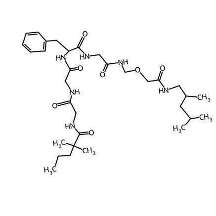 CCCC(C)(C)C(=O)NCC(=O)NCC(=O)NC(Cc1ccccc1)C(=O)NCC(=O)NCOCC(=O)NCC(C)CC(C)C